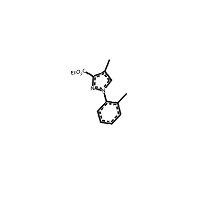 CCOC(=O)c1nn(-c2ccccc2C)cc1C